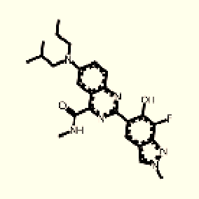 CCCN(CC(C)C)c1ccc2nc(-c3cc4cn(C)nc4c(F)c3O)nc(C(=O)NC)c2c1